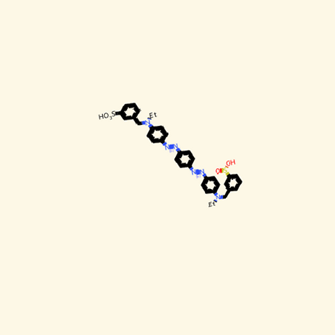 CCN(Cc1cccc(S(=O)O)c1)c1ccc(/N=N/c2ccc(/N=N/c3ccc(N(CC)Cc4cccc(S(=O)(=O)O)c4)cc3)cc2)cc1